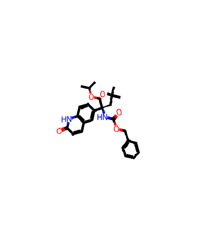 CC(C)OC(=O)[C@](CC(C)(C)C)(NC(=O)OCc1ccccc1)c1ccc2[nH]c(=O)ccc2c1